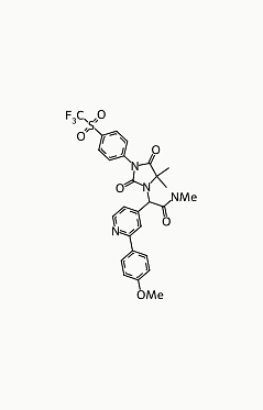 CNC(=O)C(c1ccnc(-c2ccc(OC)cc2)c1)N1C(=O)N(c2ccc(S(=O)(=O)C(F)(F)F)cc2)C(=O)C1(C)C